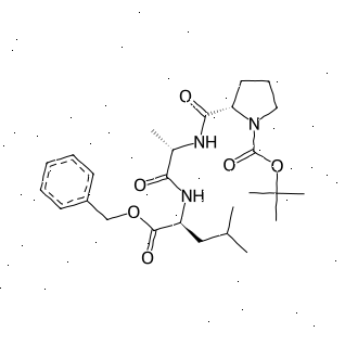 CC(C)C[C@H](NC(=O)[C@H](C)NC(=O)[C@@H]1CCCN1C(=O)OC(C)(C)C)C(=O)OCc1ccccc1